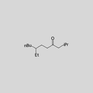 CCCCC(CC)CCC(=O)CC(C)C